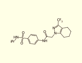 CC(C)NS(=O)(=O)c1ccc(NC(=O)Cn2nc(C(F)(F)F)c3c2CCCC3)cc1